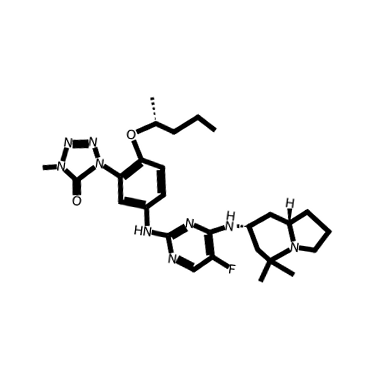 CCC[C@@H](C)Oc1ccc(Nc2ncc(F)c(N[C@@H]3C[C@@H]4CCCN4C(C)(C)C3)n2)cc1-n1nnn(C)c1=O